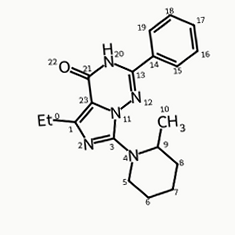 CCc1nc(N2CCCCC2C)n2nc(-c3ccccc3)[nH]c(=O)c12